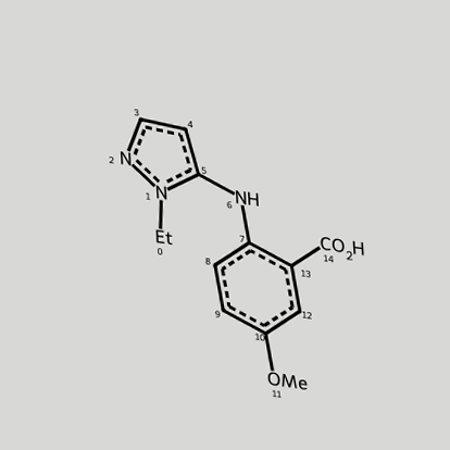 CCn1nccc1Nc1ccc(OC)cc1C(=O)O